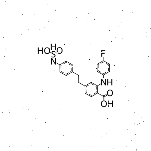 O=C(O)c1ccc(CCc2ccc(N=[SH](=O)O)cc2)cc1Nc1ccc(F)cc1